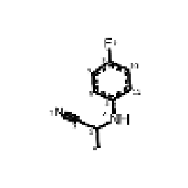 CC(C#N)Nc1ccc(F)cc1